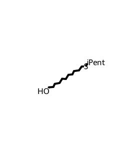 CCCC(C)SCCCCCCCCCCCO